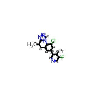 CC(C)c1c(F)cncc1-c1cc(Cl)c2c(c1)CC(C)c1nncn1-2